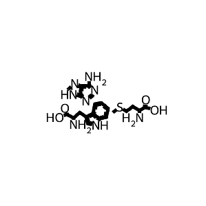 CSCCC(N)C(=O)O.NC(Cc1c[nH]c2ccccc12)C(=O)O.Nc1ncnc2[nH]cnc12